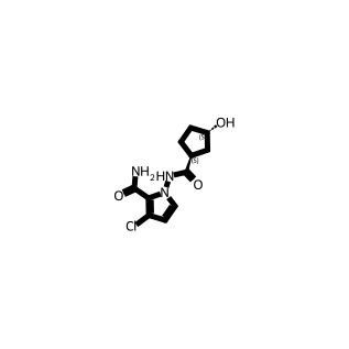 NC(=O)c1c(Cl)ccn1NC(=O)[C@H]1CC[C@H](O)C1